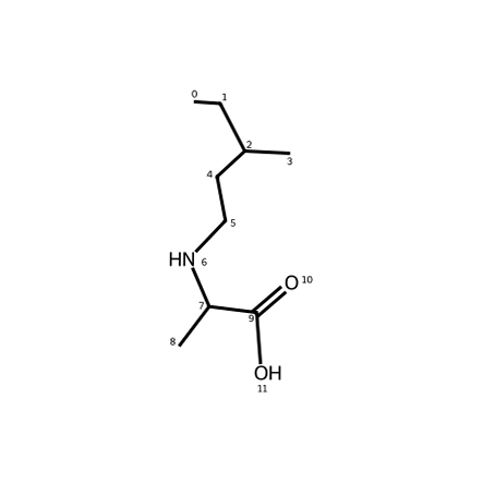 CCC(C)CCNC(C)C(=O)O